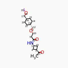 CC(=O)[C@H]1C[C@H](NC(=O)CCOC[C@H]2CC[C@H](COI)CC2)C1